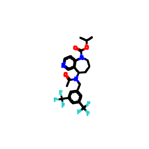 CC(=O)N(Cc1cc(C(F)(F)F)cc(C(F)(F)F)c1)C1CCCN(C(=O)OC(C)C)c2ccncc21